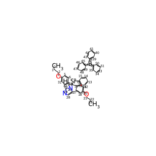 CCCOc1ccc(C([SiH2]c2ccccc2)(c2ccc(OCCC)cc2)n2ccnc2)cc1.c1ccc(B(c2ccccc2)c2ccccc2)cc1